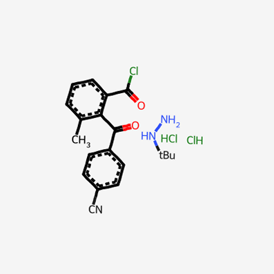 CC(C)(C)NN.Cc1cccc(C(=O)Cl)c1C(=O)c1ccc(C#N)cc1.Cl.Cl